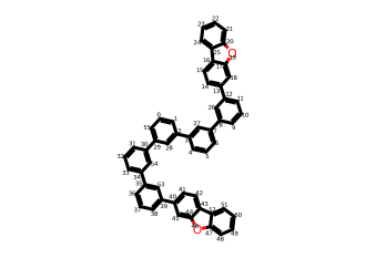 c1cc(-c2cccc(-c3cccc(-c4ccc5c(c4)oc4ccccc45)c3)c2)cc(-c2cccc(-c3cccc(-c4ccc5c(c4)oc4ccccc45)c3)c2)c1